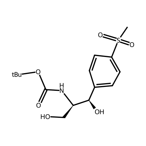 CC(C)(C)OC(=O)N[C@H](CO)[C@H](O)c1ccc(S(C)(=O)=O)cc1